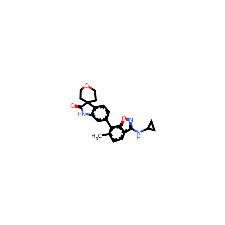 Cc1ccc2c(NC3CC3)noc2c1-c1ccc2c(c1)NC(=O)C21CCOCC1